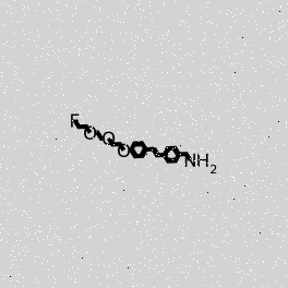 NCc1ccc(C=Cc2ccc(OCCOCCOCCF)cc2)cc1